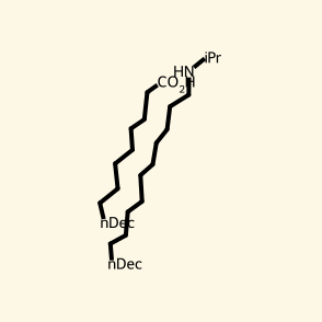 CCCCCCCCCCCCCCCCCC(=O)O.CCCCCCCCCCCCCCCCCCCCNC(C)C